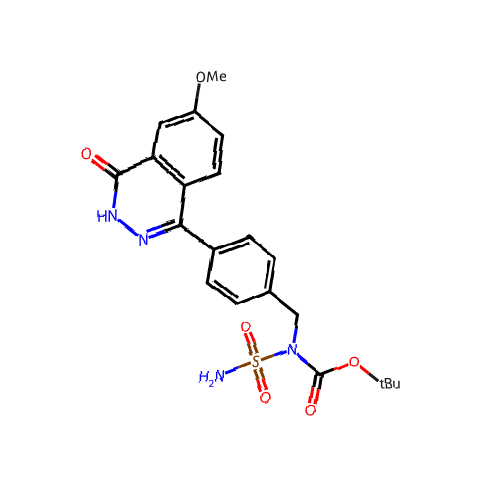 COc1ccc2c(-c3ccc(CN(C(=O)OC(C)(C)C)S(N)(=O)=O)cc3)n[nH]c(=O)c2c1